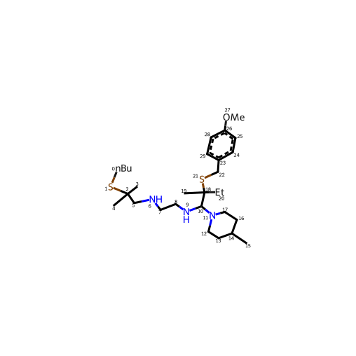 CCCCSC(C)(C)CNCCNC(N1CCC(C)CC1)C(C)(CC)SCc1ccc(OC)cc1